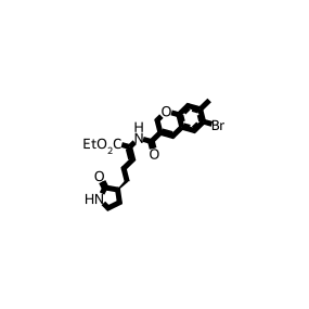 CCOC(=O)C(=CCC[C@H]1CCNC1=O)NC(=O)C1=Cc2cc(Br)c(C)cc2OC1